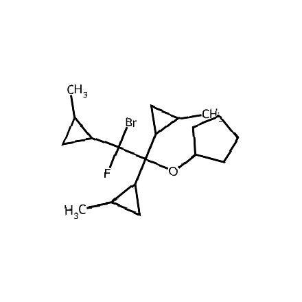 CC1CC1C(F)(Br)C(OC1C[CH]CC1)(C1CC1C)C1CC1C